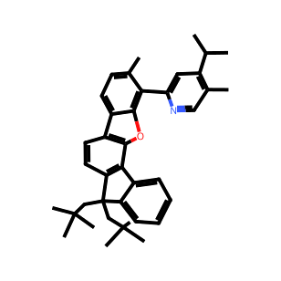 Cc1cnc(-c2c(C)ccc3c2oc2c4c(ccc23)C(CC(C)(C)C)(CC(C)(C)C)c2ccccc2-4)cc1C(C)C